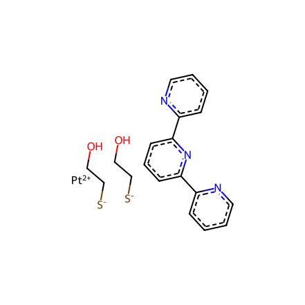 OCC[S-].OCC[S-].[Pt+2].c1ccc(-c2cccc(-c3ccccn3)n2)nc1